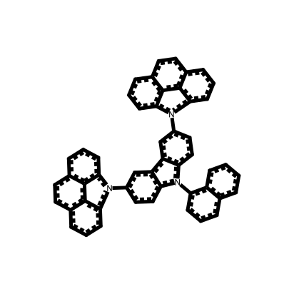 c1ccc2c(-n3c4ccc(-n5c6cccc7ccc8cccc5c8c76)cc4c4cc(-n5c6cccc7ccc8cccc5c8c76)ccc43)cccc2c1